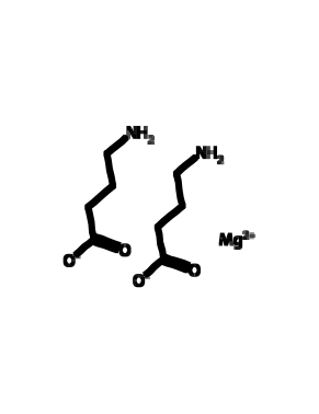 NCCCC(=O)[O-].NCCCC(=O)[O-].[Mg+2]